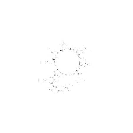 CCCCCCCC(=O)N[C@@H](C)C(=O)N[C@H](C(=O)N[C@@H](CCN)C(=O)N[C@H]1CCNC(=O)[C@H]([C@@H](C)O)NC(=O)[C@H](CCN)NC(=O)[C@H](CCN)NC(=O)[C@H](CC(C)C)NC(=O)[C@@H](CC(C)C)NC(=O)[C@H](CCN)NC1=O)[C@@H](C)O